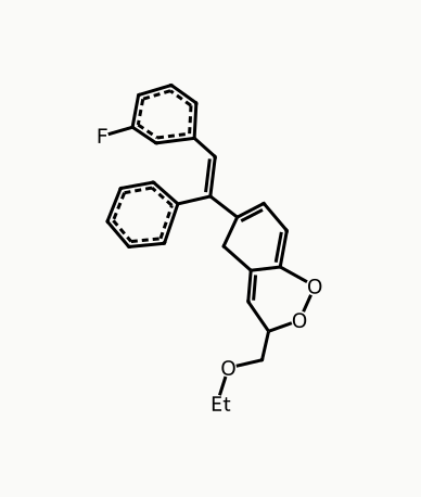 CCOCC1C=C2CC(C(=Cc3cccc(F)c3)c3ccccc3)=CC=C2OO1